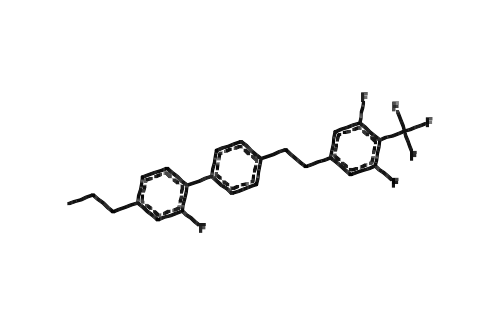 CCCc1ccc(-c2ccc(CCc3cc(F)c(C(F)(F)F)c(F)c3)cc2)c(F)c1